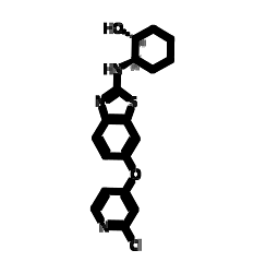 O[C@@H]1CCCC[C@H]1Nc1nc2ccc(Oc3ccnc(Cl)c3)cc2s1